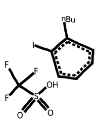 CCCCc1ccccc1I.O=S(=O)(O)C(F)(F)F